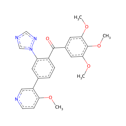 COc1ccncc1-c1ccc(C(=O)c2cc(OC)c(OC)c(OC)c2)c(-n2cncn2)c1